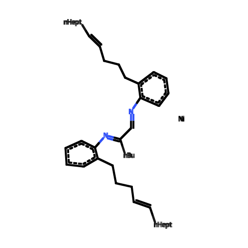 CCCCCCCC=CCCCc1ccccc1N=CC(CCCC)=Nc1ccccc1CCCC=CCCCCCCC.[Ni]